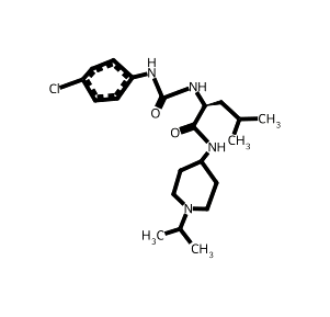 CC(C)C[C@H](NC(=O)Nc1ccc(Cl)cc1)C(=O)NC1CCN(C(C)C)CC1